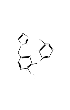 Cc1cccc(Oc2cc(Cn3ccnc3)ccc2C#N)c1